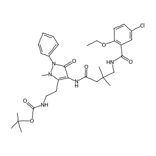 CCOc1ccc(Cl)cc1C(=O)NCC(C)(C)CC(=O)Nc1c(CCNC(=O)OC(C)(C)C)n(C)n(-c2ccccc2)c1=O